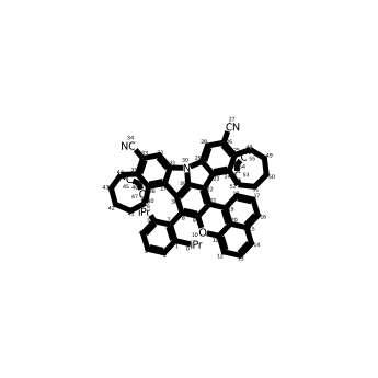 CC(C)c1cccc(C(C)C)c1-c1c2oc3cccc4cccc(c43)c2c2c3c4c(c(C#N)cc3n3c5cc(C#N)c6c(c5c1c23)C1CCCC6CCC1)C1CCCC4CCC1